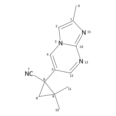 Cc1cn2cc(C3(C#N)CC3(C)C)cnc2n1